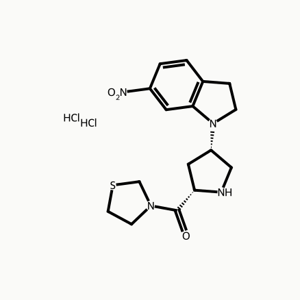 Cl.Cl.O=C([C@@H]1C[C@H](N2CCc3ccc([N+](=O)[O-])cc32)CN1)N1CCSC1